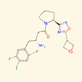 N[C@@H](CC(=O)N1CCC[C@H]1c1noc(C2COC2)n1)Cc1cc(F)c(F)cc1F